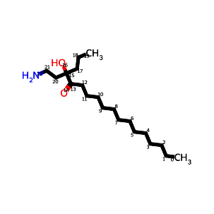 CCCCCCCCCCCCCC(=O)C(O)(CCC)CCN